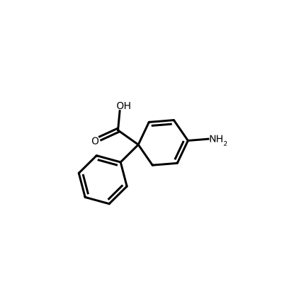 NC1=CCC(C(=O)O)(c2ccccc2)C=C1